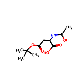 CB(O)N[C@H](CC(=O)OC(C)(C)C)C(=O)O